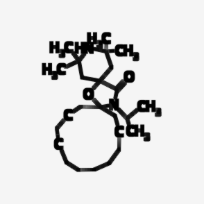 CC(C)N1C(=O)C2(CC(C)(C)NC(C)(C)C2)OC12CCCCCCCCCCC2